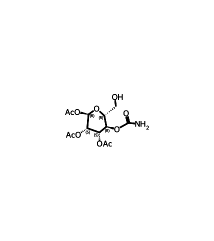 CC(=O)O[C@H]1O[C@H](CO)[C@@H](OC(N)=O)[C@H](OC(C)=O)[C@@H]1OC(C)=O